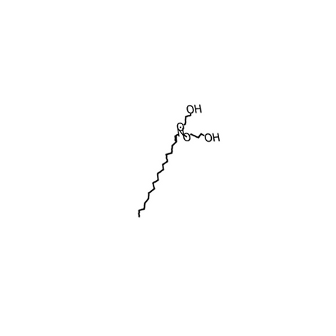 CCCCCCCCCCCCCCCCC=CN(OCCCO)OCCCO